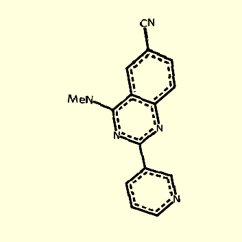 CNc1nc(-c2cccnc2)nc2ccc(C#N)cc12